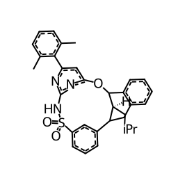 Cc1cccc(C)c1-c1cc2nc(n1)NS(=O)(=O)c1cccc(c1)C1Cc3ccccc3C(O2)[C@H]1CC(C)C